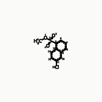 COS(=O)(=O)c1cccc2cc(Cl)ccc12